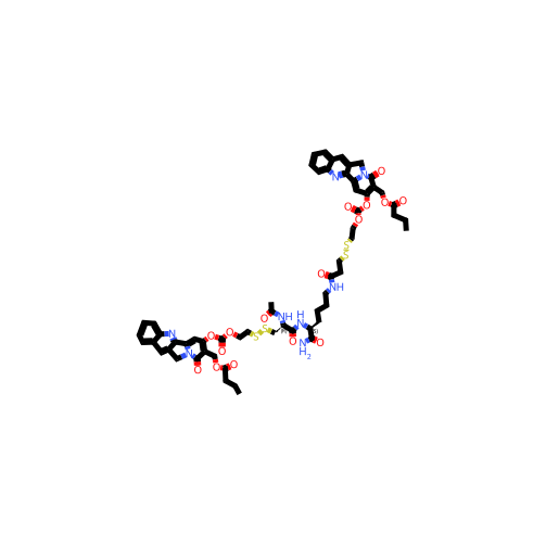 CCCC(=O)OCc1c(OC(=O)OCCSSCCC(=O)NCCCC[C@H](NC(=O)[C@H](CSSCCOC(=O)Oc2cc3n(c(=O)c2COC(=O)CCC)Cc2cc4ccccc4nc2-3)NC(C)=O)C(N)=O)cc2n(c1=O)Cc1cc3ccccc3nc1-2